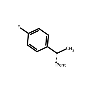 CCCC(C)[C@@H](C)c1ccc(F)cc1